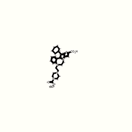 CC(C)(C)OC(=O)N1CCN(CCN2CCn3c(c(C4CCCCC4)c4sc(C(=O)O)cc43)-c3ccccc32)CC1